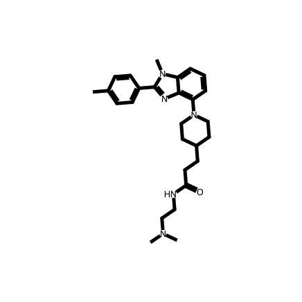 Cc1ccc(-c2nc3c(N4CCC(CCC(=O)NCCN(C)C)CC4)cccc3n2C)cc1